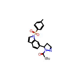 Cc1ccc(S(=O)(=O)n2ccc3ccc(C4CC=NN4C(=O)C(C)(C)C)cc32)cc1